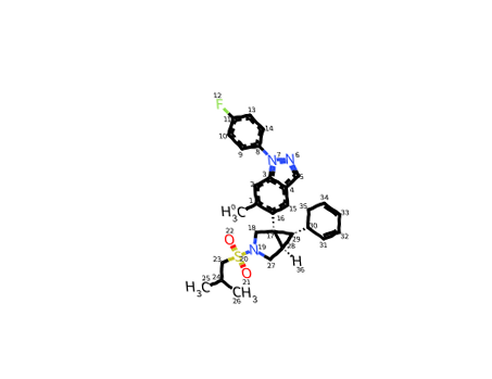 Cc1cc2c(cnn2-c2ccc(F)cc2)cc1[C@@]12CN(S(=O)(=O)CC(C)C)C[C@@H]1[C@H]2C1C=CC=CC1